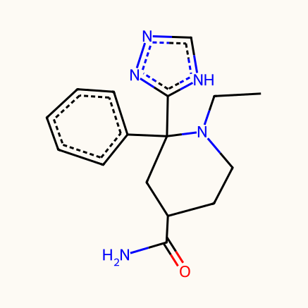 CCN1CCC(C(N)=O)CC1(c1ccccc1)c1nnc[nH]1